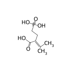 CC(C)=C(CCP(=O)(O)O)C(=O)O